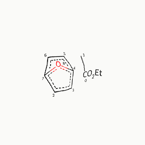 CCOC(C)=O.c1cc2ccc1o2